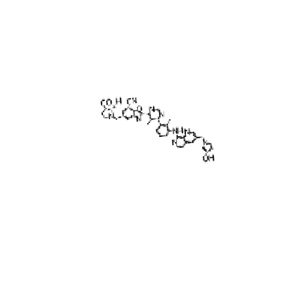 Cc1c(Nc2nccc3cc(Cn4ccc(O)c4)cnc23)cccc1-c1ncnc(-c2nc3cc(CN4CCC(C(=O)O)C4)cc(C#N)c3o2)c1C